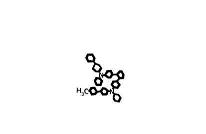 Cc1ccc(-c2ccc(N(c3ccc(-c4ccccc4-c4ccc(N(C5=CCC(c6ccccc6)C=C5)c5ccccc5)cc4)cc3)C3C=CC=CC3)cc2)cc1